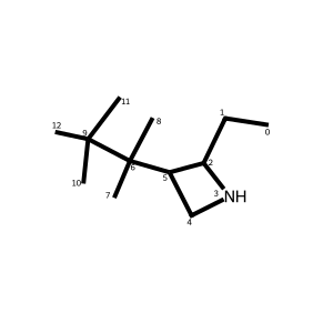 CCC1NCC1C(C)(C)C(C)(C)C